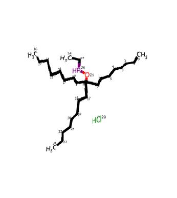 CCCCCCCCC(CCCCCCCC)(CCCCCCCC)OPCC.Cl